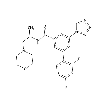 C[C@H](CN1CCOCC1)NC(=O)c1cc(-c2ccc(F)cc2F)cc(-n2cnnn2)c1